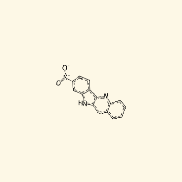 O=[N+]([O-])c1ccc2c(c1)[nH]c1cc3ccccc3nc12